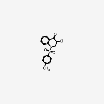 Cc1ccc(S(=O)(=O)N2CC(Cl)C(=O)c3ccccc32)cc1